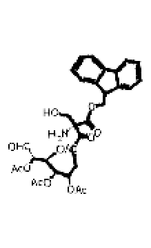 CC(=O)O[C@@H]([C@H](OC(C)=O)[C@@H](COC(=O)[C@@](N)(CO)C(=O)OCC1c2ccccc2-c2ccccc21)OC(C)=O)[C@@H](C=O)OC(C)=O